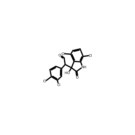 O=CC(c1ccc(Cl)c(Cl)c1)C1(O)C(=O)Nc2c(Cl)ccc(Cl)c21